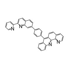 c1ccc(-c2ccc3ccc(-c4ccc(-c5c6ccccc6nc6c5ccc5cccnc56)cc4)cc3n2)nc1